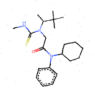 CNC(=S)N(CC(=O)N(c1ccccc1)C1CCCCC1)C(C)C(C)(C)C